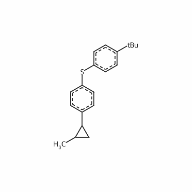 CC1CC1c1ccc(Sc2ccc(C(C)(C)C)cc2)cc1